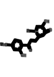 CCn1cc(O)c(=O)cc1/C=C/C(=O)c1ccc(OC)cc1O